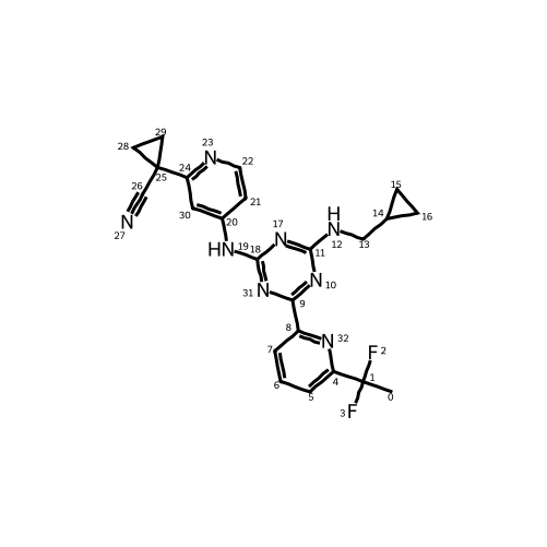 CC(F)(F)c1cccc(-c2nc(NCC3CC3)nc(Nc3ccnc(C4(C#N)CC4)c3)n2)n1